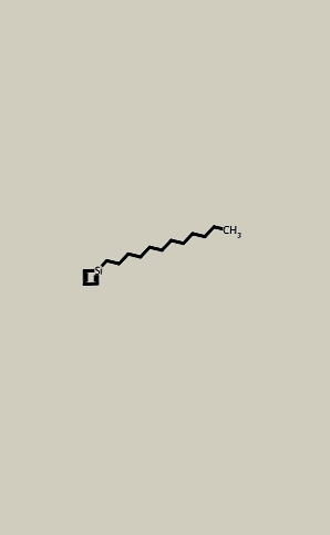 CCCCCCCCCCCC[Si]1=CC=C1